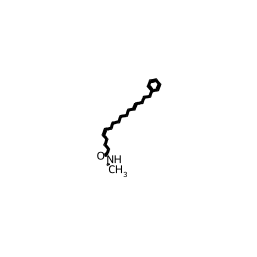 CCNC(=O)CCC/C=C\CCCCCC/C=C/CCCc1ccccc1